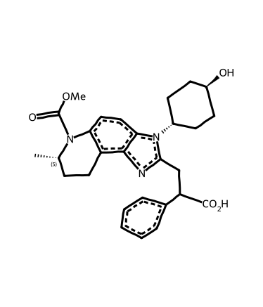 COC(=O)N1c2ccc3c(nc(CC(C(=O)O)c4ccccc4)n3[C@H]3CC[C@H](O)CC3)c2CC[C@@H]1C